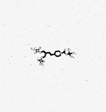 CC(C)(C)OC(=O)N1CCC(CCC(COS(C)(=O)=O)COS(C)(=O)=O)CC1